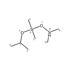 CC(C)O[Si](C)(C)O[SiH](C)C